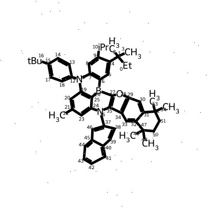 CCC(C)(C)c1cc2c(cc1C(C)C)N(c1ccc(C(C)(C)C)cc1)c1cc(C)cc3c1B2c1oc2cc4c(cc2c1N3c1ccc2ccccc2c1)C(C)(C)CCC4(C)C